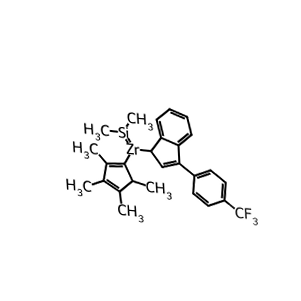 CC1=C(C)C(C)[C]([Zr]([CH]2C=C(c3ccc(C(F)(F)F)cc3)c3ccccc32)=[Si](C)C)=C1C